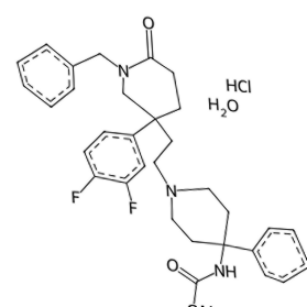 COC(=O)NC1(c2ccccc2)CCN(CCC2(c3ccc(F)c(F)c3)CCC(=O)N(Cc3ccccc3)C2)CC1.Cl.O